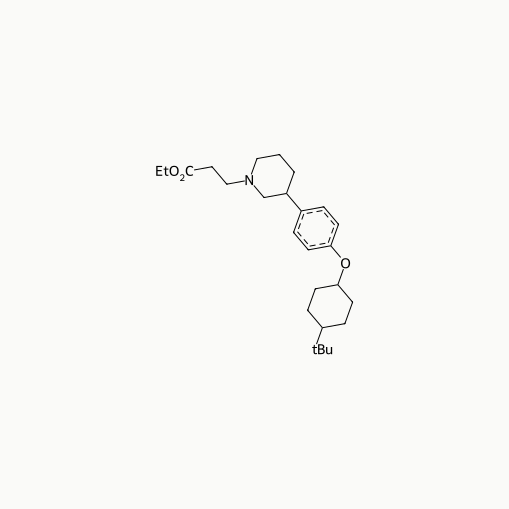 CCOC(=O)CCN1CCCC(c2ccc(OC3CCC(C(C)(C)C)CC3)cc2)C1